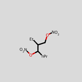 CCCC(O[N+](=O)[O-])C(CC)CO[N+](=O)[O-]